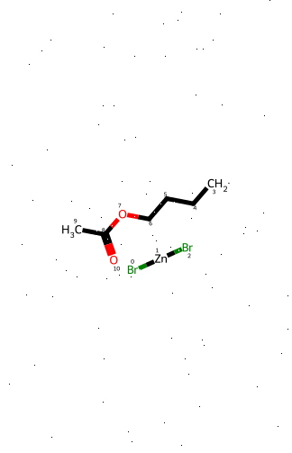 [Br][Zn][Br].[CH2]CCCOC(C)=O